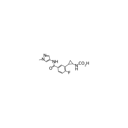 Cn1cc(NC(=O)c2ccc(F)c(C3CC3NC(=O)O)c2)cn1